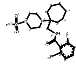 CCCS(=O)(=O)N1CCN(C2(CNC(=O)c3c(F)cccc3F)CCCCCC2)CC1